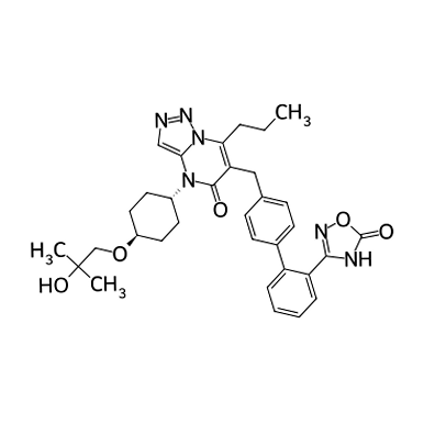 CCCc1c(Cc2ccc(-c3ccccc3-c3noc(=O)[nH]3)cc2)c(=O)n([C@H]2CC[C@H](OCC(C)(C)O)CC2)c2cnnn12